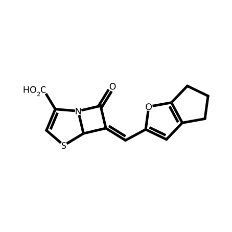 O=C(O)C1=CSC2C(=Cc3cc4c(o3)CCC4)C(=O)N12